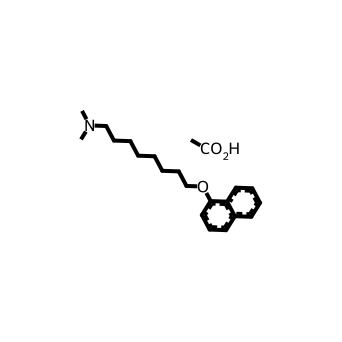 CC(=O)O.CN(C)CCCCCCCCOc1cccc2ccccc12